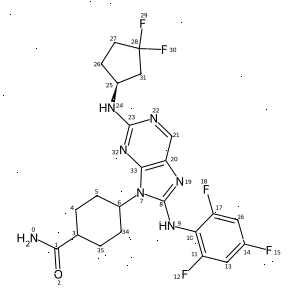 NC(=O)C1CCC(n2c(Nc3c(F)cc(F)cc3F)nc3cnc(N[C@H]4CCC(F)(F)C4)nc32)CC1